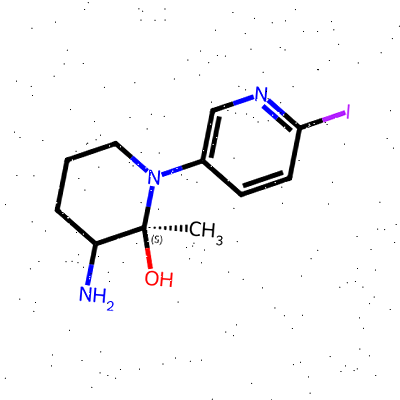 C[C@]1(O)C(N)CCCN1c1ccc(I)nc1